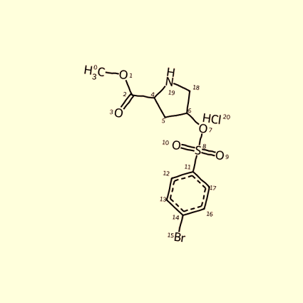 COC(=O)C1CC(OS(=O)(=O)c2ccc(Br)cc2)CN1.Cl